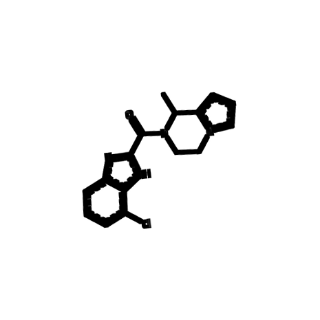 CC1c2cccn2CCN1C(=O)c1nc2cccc(Cl)c2[nH]1